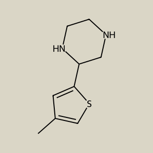 Cc1csc(C2CNCCN2)c1